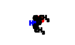 Cc1ccc2[nH]c3c(c2c1)CCN(S(C)(=O)=O)C3c1ccccc1